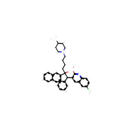 COc1nc2ccc(Br)cc2cc1C(c1ccccc1)C(O)(CCCCN1CCC(C)CC1)c1ccc2ccccc2c1